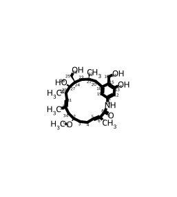 CO[C@H]1CC/C=C(\C)C(=O)Nc2cc(O)c(CO)c(c2)C[C@@H](C)C[C@H](CO)[C@H](O)[C@@H](C)/C=C(\C)C1